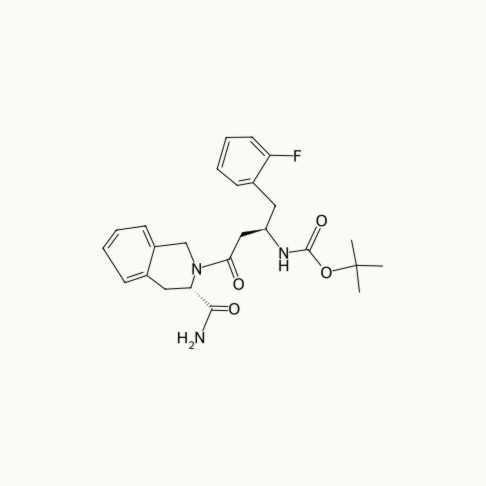 CC(C)(C)OC(=O)N[C@@H](CC(=O)N1Cc2ccccc2C[C@H]1C(N)=O)Cc1ccccc1F